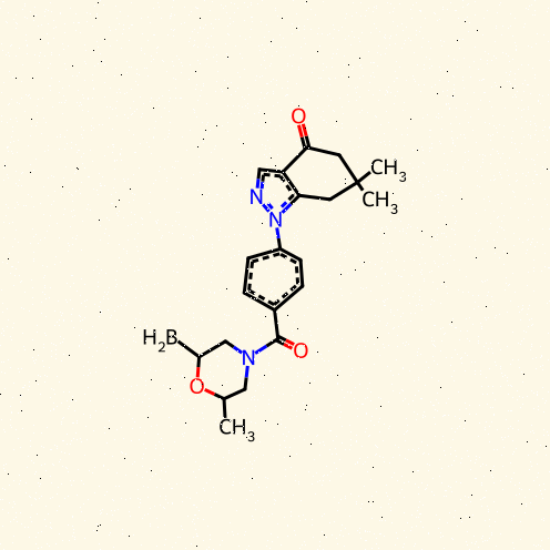 BC1CN(C(=O)c2ccc(-n3ncc4c3CC(C)(C)CC4=O)cc2)CC(C)O1